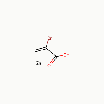 C=C(Br)C(=O)O.[Zn]